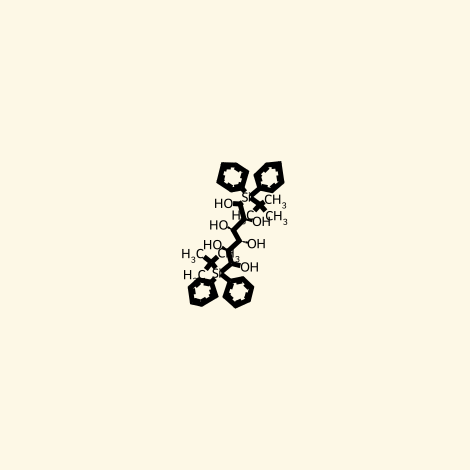 CC(C)(C)[Si](c1ccccc1)(c1ccccc1)C(O)[C@@H](O)[C@@H](O)[C@H](O)[C@H](O)C(O)[Si](c1ccccc1)(c1ccccc1)C(C)(C)C